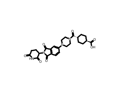 O=C1CCC(N2C(=O)c3ccc(N4CCN(C(=O)[C@H]5CC[C@H](C(=O)O)CC5)CC4)cc3C2=O)C(=O)N1